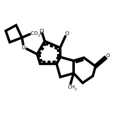 CC12CCC(=O)C=C1c1c(cc(OC3(C(=O)O)CCC3)c(Cl)c1Cl)C2